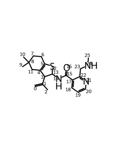 C=C(C)C1C2=C(CCC(C)(C)C2)SC1NC(=O)c1cccnc1CNC